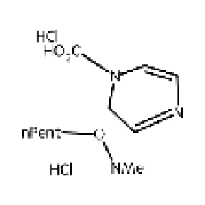 CCCCCONC.Cl.Cl.O=C(O)N1C=CN=CC1